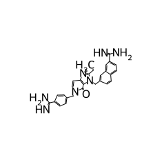 CCc1nc2ccn(Cc3ccc(C(=N)N)cc3)c(=O)c2n1Cc1ccc2ccc(C(=N)N)cc2c1